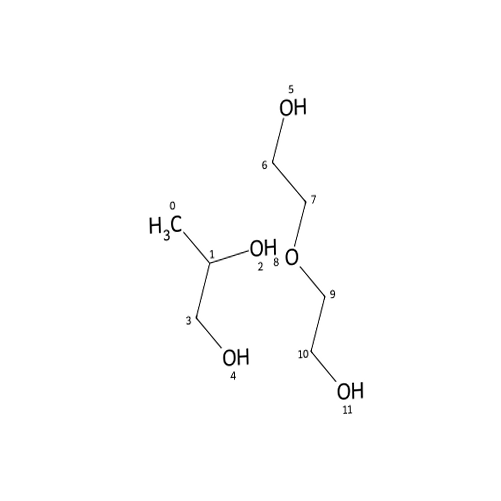 CC(O)CO.OCCOCCO